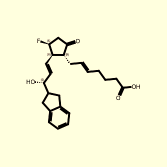 O=C(O)CCCC=CC[C@H]1C(=O)C[C@H](F)[C@@H]1C=C[C@@H](O)C1Cc2ccccc2C1